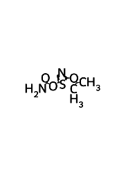 CC(C)Oc1ncc(OC(N)=O)s1